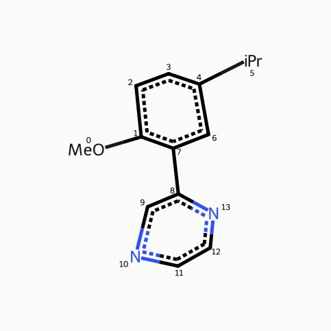 COc1ccc(C(C)C)cc1-c1cnccn1